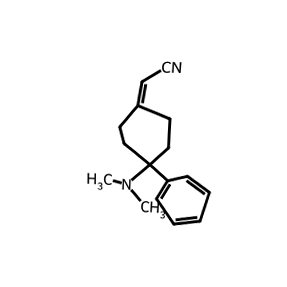 CN(C)C1(c2ccccc2)CCC(=CC#N)CC1